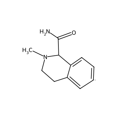 CN1CCc2c[c]ccc2C1C(N)=O